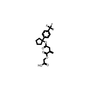 C=C(CC(=O)OC1(c2ccc(C(F)(F)F)cc2)CCCC1)C(=O)OCC(=O)O